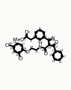 COC(=O)Cc1cccc(-c2noc(-c3ccccc3)c2C(=O)NCCOc2ccc(Cl)cc2Cl)c1